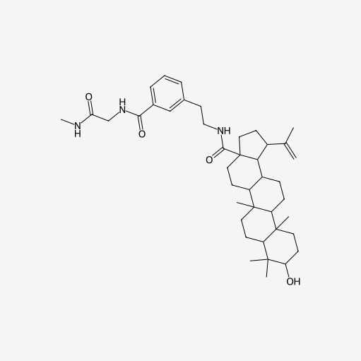 C=C(C)C1CCC2(C(=O)NCCc3cccc(C(=O)NCC(=O)NC)c3)CCC3C(CCC4C3(C)CCC3C(C)(C)C(O)CCC34C)C12